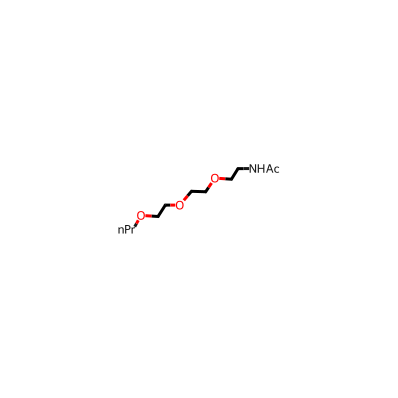 CCCOCCOCCOCCNC(C)=O